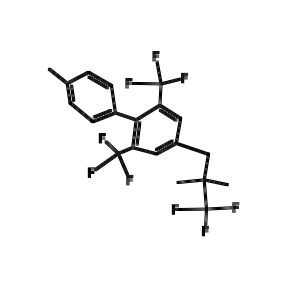 Cc1ccc(-c2c(C(F)(F)F)cc(CC(C)(C)C(F)(F)F)cc2C(F)(F)F)cc1